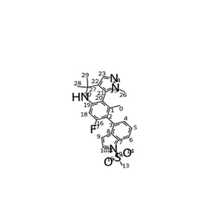 Cc1c(-c2cccc3c2ccn3S(C)(=O)=O)c(F)cc2c1-c1c(cnn1C)C(C)(C)N2